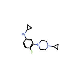 Fc1ccc(NC2CC2)cc1N1CCN(C2CC2)CC1